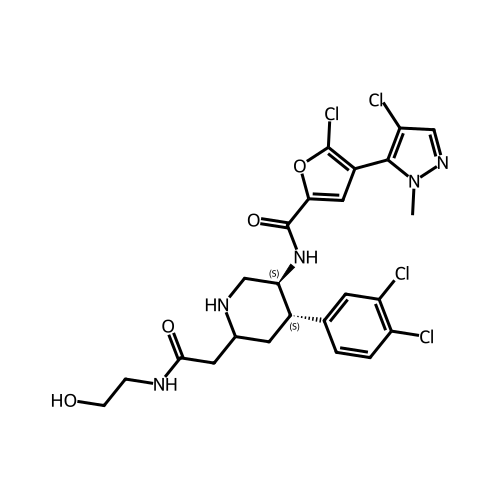 Cn1ncc(Cl)c1-c1cc(C(=O)N[C@@H]2CNC(CC(=O)NCCO)C[C@H]2c2ccc(Cl)c(Cl)c2)oc1Cl